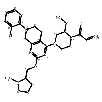 C=CC(=O)N1CCN(c2nc(OCC3CCCN3C)nc3c2CCN(c2ccccc2Cl)C3)CC1CC#N